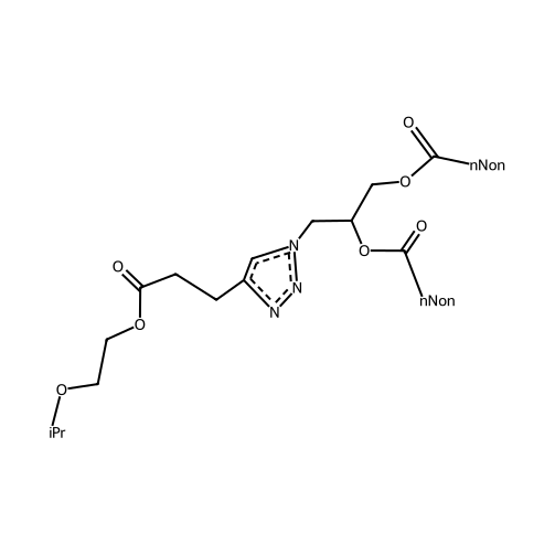 CCCCCCCCCC(=O)OCC(Cn1cc(CCC(=O)OCCOC(C)C)nn1)OC(=O)CCCCCCCCC